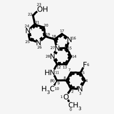 COc1ncc(F)cc1[C@@H](C)Nc1ccc2ncc(-c3cc(CO)ncn3)n2n1